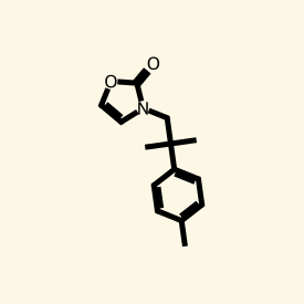 Cc1ccc(C(C)(C)Cn2ccoc2=O)cc1